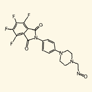 O=NCN1CCN(c2ccc(N3C(=O)c4c(F)c(F)c(F)c(F)c4C3=O)cc2)CC1